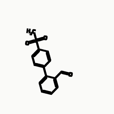 CS(=O)(=O)c1ccc(-c2ccccc2C=O)cc1